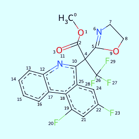 COC(=O)C(C1=NCCO1)(c1nc2ccccc2c2c(F)cc(F)cc12)C(F)(F)F